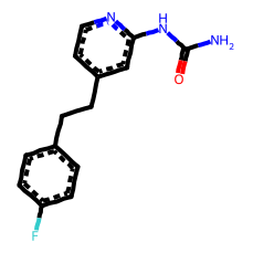 NC(=O)Nc1cc(CCc2ccc(F)cc2)ccn1